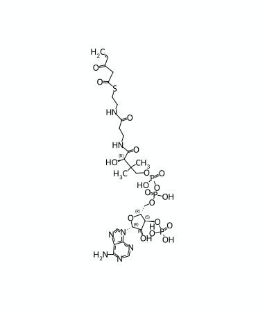 C=CC(=O)CC(=O)SCCNC(=O)CCNC(=O)[C@H](O)C(C)(C)COP(=O)(O)OP(=O)(O)OC[C@H]1O[C@@H](n2cnc3c(N)ncnc32)[C@H](O)[C@@H]1OP(=O)(O)O